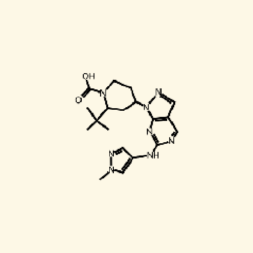 Cn1cc(Nc2ncc3cnn(C4CCN(C(=O)O)C(C(C)(C)C)C4)c3n2)cn1